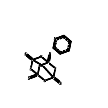 S=P12SP3(=S)SP(=S)(S1)SP(=S)(S2)S3.c1ccncc1